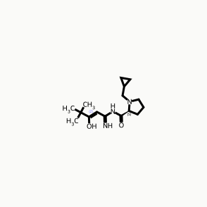 CC(C)(C)/C(O)=C/C(=N)NC(=O)[C@@H]1CCCN1CC1CC1